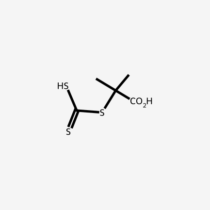 CC(C)(SC(=S)S)C(=O)O